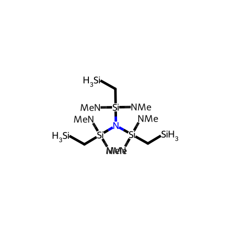 CN[Si](C[SiH3])(NC)N([Si](C[SiH3])(NC)NC)[Si](C[SiH3])(NC)NC